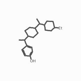 CCC1CCC(C(C)C2CCC(C(C)c3ccc(O)cc3)CC2)CC1